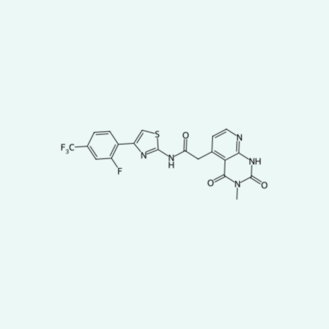 Cn1c(=O)[nH]c2nccc(CC(=O)Nc3nc(-c4ccc(C(F)(F)F)cc4F)cs3)c2c1=O